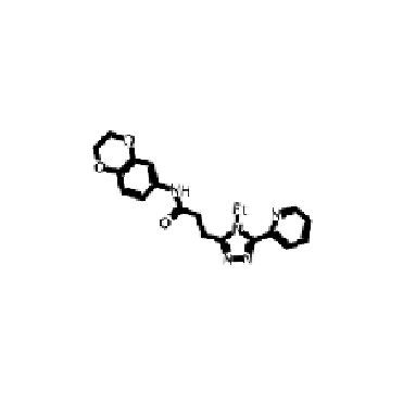 CCn1c(CCC(=O)Nc2ccc3c(c2)OCCO3)nnc1-c1ccccn1